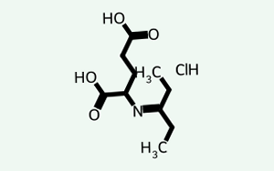 CCC(CC)=NC(CCC(=O)O)C(=O)O.Cl